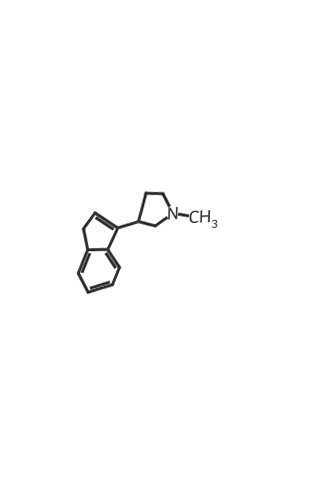 CN1CCC(C2=CCc3ccccc32)C1